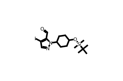 CC(C)(C)[Si](C)(C)OC1CCC(n2ncc(I)c2C=O)CC1